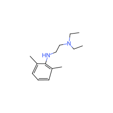 CCN(CC)CCNc1c(C)cccc1C